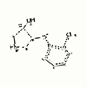 Cc1ccccc1OC1CNCC1O